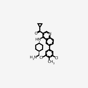 Cc1c(Cl)cc(-c2ccc3ncc(C(=O)C4CC4)c(N[C@H]4CC[C@H](CN)CC4)c3c2)cc1Cl